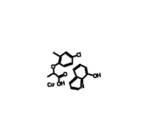 Cc1cc(Cl)ccc1OC(C)C(=O)O.Oc1cccc2cccnc12.[Cu]